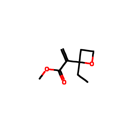 C=C(C(=O)OC)C1(CC)CCO1